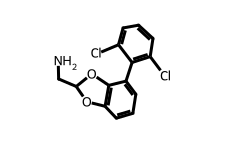 NCC1Oc2cccc(-c3c(Cl)cccc3Cl)c2O1